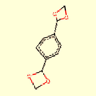 c1cc(C2OCO2)ccc1C1OCO1